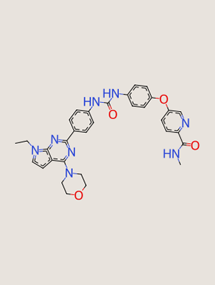 CCn1ccc2c(N3CCOCC3)nc(-c3ccc(NC(=O)Nc4ccc(Oc5ccc(C(=O)NC)nc5)cc4)cc3)nc21